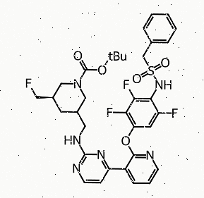 CC(C)(C)OC(=O)N1CC(CNc2nccc(-c3cccnc3Oc3cc(F)c(NS(=O)(=O)Cc4ccccc4)c(F)c3F)n2)C[C@@H](CF)C1